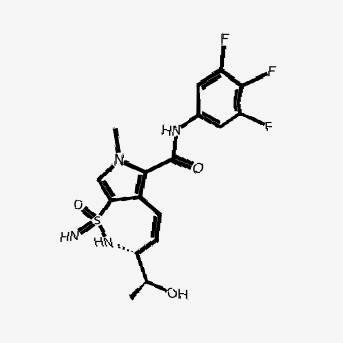 C[C@H](O)[C@H]1C=Cc2c(cn(C)c2C(=O)Nc2cc(F)c(F)c(F)c2)S(=N)(=O)N1